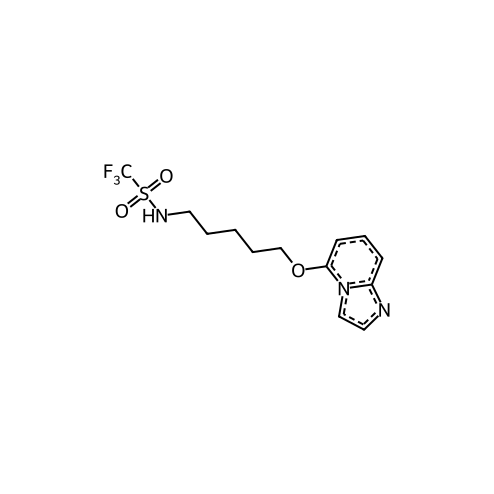 O=S(=O)(NCCCCCOc1cccc2nccn12)C(F)(F)F